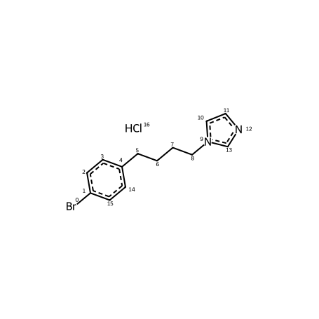 Brc1ccc(CCCCn2ccnc2)cc1.Cl